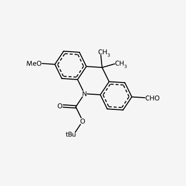 COc1ccc2c(c1)N(C(=O)OC(C)(C)C)c1ccc(C=O)cc1C2(C)C